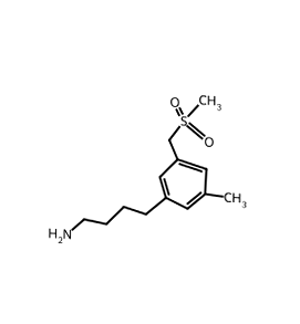 Cc1cc(CCCCN)cc(CS(C)(=O)=O)c1